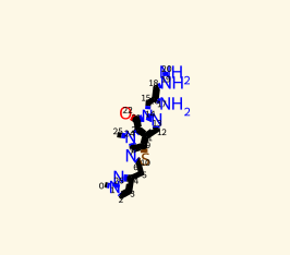 Cn1ccc(Cc2nc3c(s2)c2cnn(C/C(N)=C/NN)c(=O)c2n3C)n1